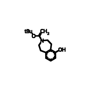 C=C(OC(C)(C)C)N1CCc2cccc(O)c2CC1